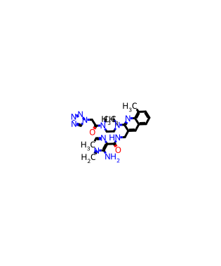 C=N/C(N)=C(\N=C/C)C(=O)NCc1cc2cccc(C)c2nc1N(C)CCN(C)C(=O)Cn1cnnn1